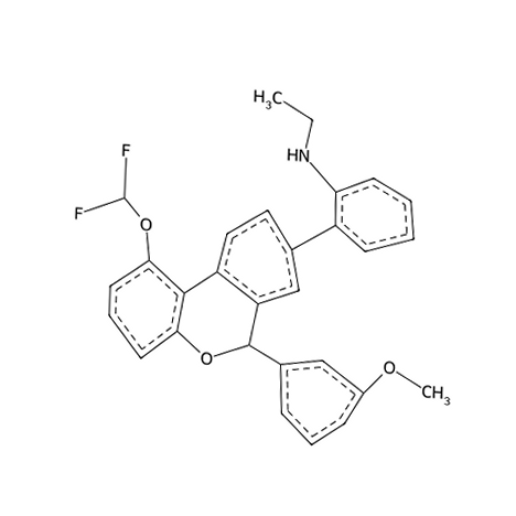 CCNc1ccccc1-c1ccc2c(c1)C(c1cccc(OC)c1)Oc1cccc(OC(F)F)c1-2